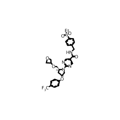 CCS(=O)(=O)c1ccc(CNC(=O)c2cnc(N3C[C@H](Oc4ccc(C(F)(F)F)cc4)C[C@H]3COC3COC3)nc2)cc1